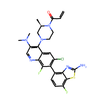 C=CC(=O)N1CCN(c2c(N(C)C)cnc3c(F)c(-c4ccc(F)c5sc(N)nc45)c(Cl)cc23)C[C@H]1C